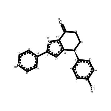 O=C1CC[C@@H](c2ccc(Cl)cc2)c2cc(-c3ccncc3)sc21